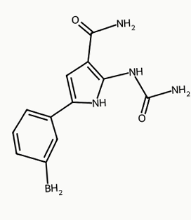 Bc1cccc(-c2cc(C(N)=O)c(NC(N)=O)[nH]2)c1